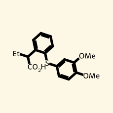 CCC(C(=O)O)c1ccccc1Sc1ccc(OC)c(OC)c1